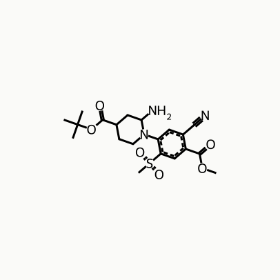 COC(=O)c1cc(S(C)(=O)=O)c(N2CCC(C(=O)OC(C)(C)C)CC2N)cc1C#N